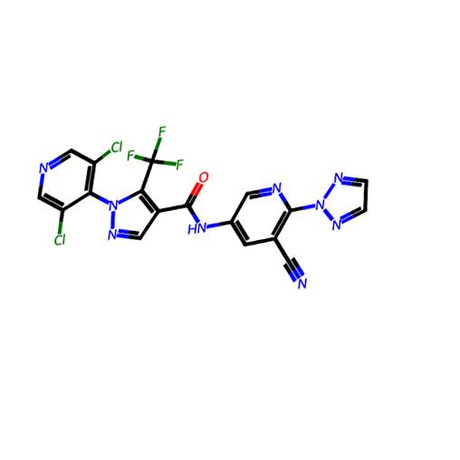 N#Cc1cc(NC(=O)c2cnn(-c3c(Cl)cncc3Cl)c2C(F)(F)F)cnc1-n1nccn1